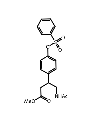 COC(=O)CC(CNC(C)=O)c1ccc(OS(=O)(=O)c2ccccc2)cc1